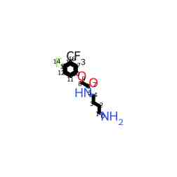 NCCCCNC(=O)COc1ccc(F)c(C(F)(F)F)c1